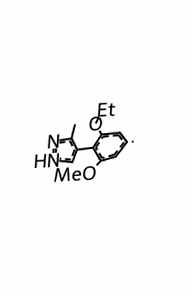 CCOc1c[c]cc(OC)c1-c1c[nH]nc1C